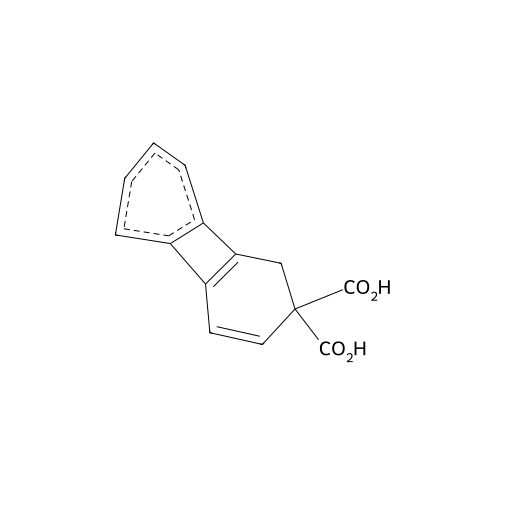 O=C(O)C1(C(=O)O)C=CC2=C(C1)c1ccccc12